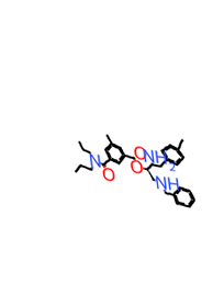 CCCN(CCC)C(=O)c1cc(C)cc(C(=O)O[C@H](CNCc2ccccc2)[C@@H](N)Cc2ccc(C)cc2)c1